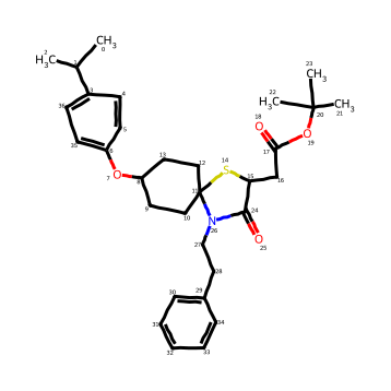 CC(C)c1ccc(OC2CCC3(CC2)SC(CC(=O)OC(C)(C)C)C(=O)N3CCc2ccccc2)cc1